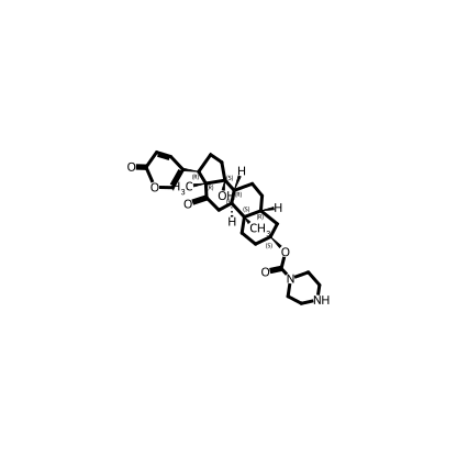 C[C@]12CC[C@H](OC(=O)N3CCNCC3)C[C@H]1CC[C@@H]1[C@@H]2CC(=O)[C@]2(C)[C@@H](c3ccc(=O)oc3)CC[C@]12O